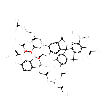 CC(=O)OCOC(=O)CN(CC(=O)OCOC(C)=O)c1ccc(C)cc1OCCOc1cc2c(cc1N(CC(=O)OCOC(C)=O)CC(=O)OCOC(C)=O)C(=O)OC21c2cc(OBO)c(OC(C)=O)cc2C(C)(C)c2cc(OC(C)=O)c(B(O)O)cc21